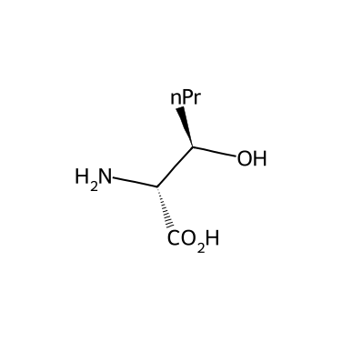 CCC[C@@H](O)[C@@H](N)C(=O)O